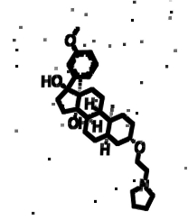 COc1cccc([C@@]2(O)CC[C@]3(O)[C@@H]4CC[C@@H]5C[C@@H](OCCN6CCCC6)CC[C@]5(C)[C@H]4CC[C@]23C)c1